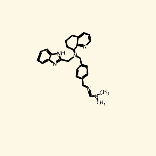 CN(C)C=NCc1ccc(CN(Cc2nc3ccccc3[nH]2)C2CCCc3cccnc32)cc1